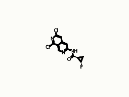 O=C(Nc1cc2cc(Cl)nc(Cl)c2cn1)[C@H]1C[C@@H]1F